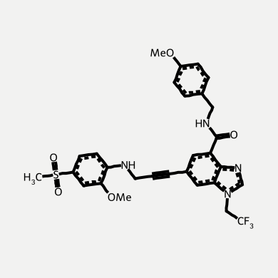 COc1ccc(CNC(=O)c2cc(C#CCNc3ccc(S(C)(=O)=O)cc3OC)cc3c2ncn3CC(F)(F)F)cc1